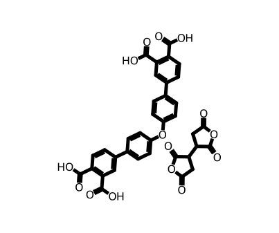 O=C(O)c1ccc(-c2ccc(Oc3ccc(-c4ccc(C(=O)O)c(C(=O)O)c4)cc3)cc2)cc1C(=O)O.O=C1CC(C2CC(=O)OC2=O)C(=O)O1